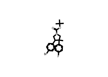 CC(C)(C)OC(=O)N1CC(c2ccc(Br)cc2)C(C)(c2ccc(F)cc2)C1